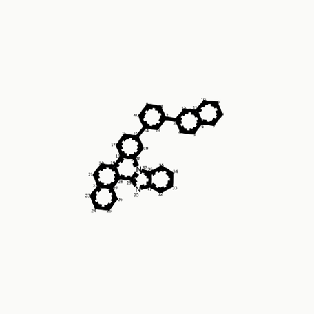 c1cc(-c2ccc3ccccc3c2)cc(-c2ccc3c4ccc5ccccc5c4c4nc5ccccc5n4c3c2)c1